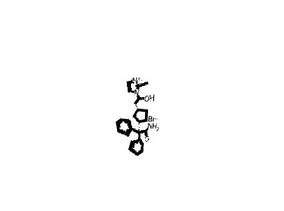 CC1=[N+]C=CN1C(O)C[C@@H]1CC[C@H](C(C(N)=O)(c2ccccc2)c2ccccc2)C1.[Br-]